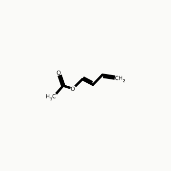 C=C/C=C/OC(C)=O